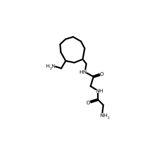 NCC(=O)NCC(=O)NCC1CCCCCCC(CN)C1